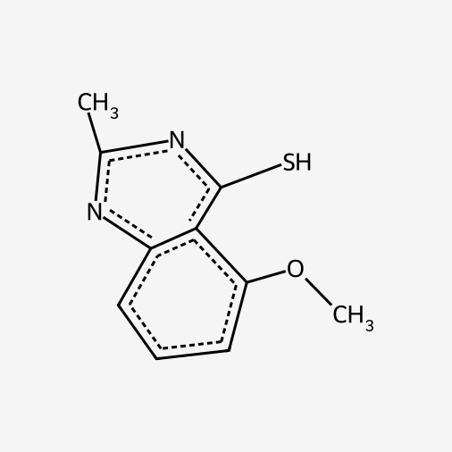 COc1cccc2nc(C)nc(S)c12